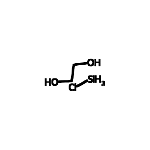 OCCO.[SiH3]Cl